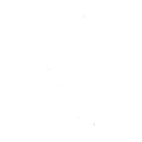 CC(C)(O)CCOS(=O)(=O)c1ccc(CBr)cc1